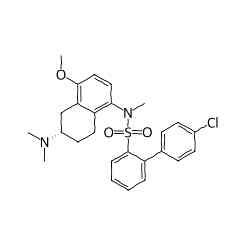 COc1ccc(N(C)S(=O)(=O)c2ccccc2-c2ccc(Cl)cc2)c2c1C[C@@H](N(C)C)CC2